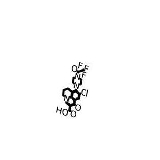 O=C(O)c1cn2c3c(c(N4CCN(C(=O)C(F)(F)F)CC4)c(Cl)cc3c1=O)CCC2